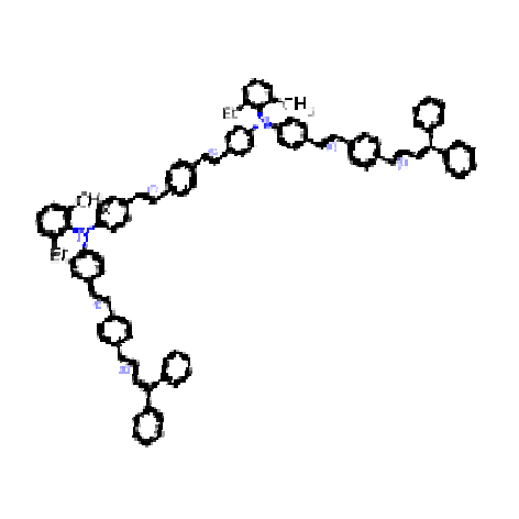 CCc1cccc(C)c1N(c1ccc(/C=C/c2ccc(/C=C/C=C(c3ccccc3)c3ccccc3)cc2)cc1)c1ccc(/C=C/c2ccc(/C=C/c3ccc(N(c4ccc(/C=C/c5ccc(/C=C/C=C(c6ccccc6)c6ccccc6)cc5)cc4)c4c(C)cccc4CC)cc3)cc2)cc1